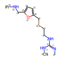 C/N=C(\NC#N)NCCSCc1ccc(CNC(C)C)o1